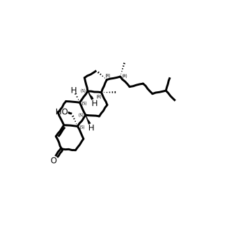 CC(C)CCC[C@@H](C)[C@H]1CC[C@H]2[C@@H]3CCC4=CC(=O)CC[C@]4(CO)[C@H]3CC[C@]12C